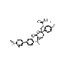 COc1ccc(-c2ccc([C@H](C)N3CCC(CCC(N)=O)(c4ccc(F)cc4)OC3=O)cc2)cn1